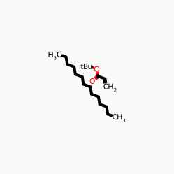 C=CC(=O)OC(C)(C)C.CCCCCCCCCCCCCC